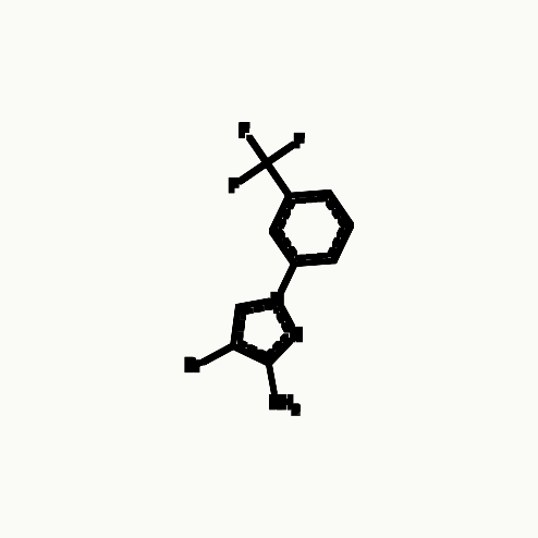 Nc1nn(-c2cccc(C(F)(F)F)c2)cc1Br